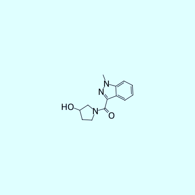 Cn1nc(C(=O)N2CCC(O)C2)c2ccccc21